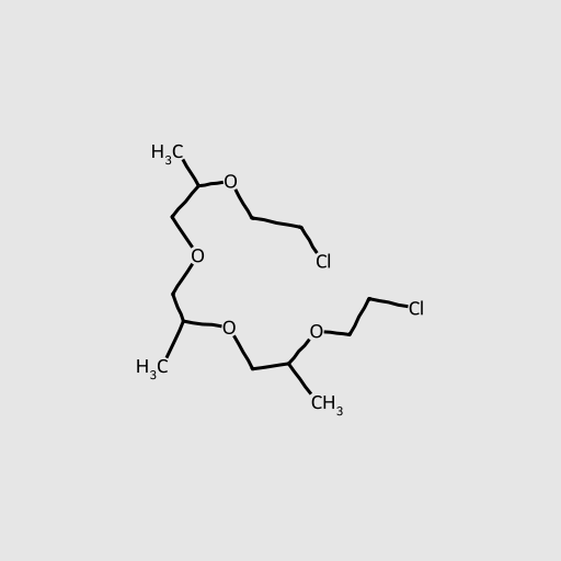 CC(COCC(C)OCC(C)OCCCl)OCCCl